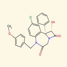 COc1ccc(CN2C(=O)CN3C(=O)[C@@H](O)[C@]3(c3ccccc3)c3cc(Cl)ccc32)cc1